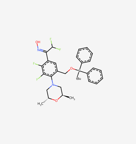 C[C@@H]1CN(c2c(CO[Si](c3ccccc3)(c3ccccc3)C(C)(C)C)cc(C(=NO)C(F)F)c(F)c2F)C[C@@H](C)O1